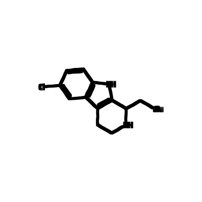 CC(C)(C)CC1NCCc2c1[nH]c1ccc(Cl)cc21